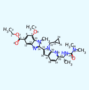 CCOC(=O)c1cc(OC)c2c(c1)nc(-c1cc3ccc([C@@H](C)NC(=O)N(C)C)nc3n1CC1CC1)n2C